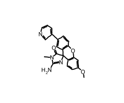 COc1ccc2c(c1)Oc1ccc(-c3cccnc3)cc1C21N=C(N)N(C)C1=O